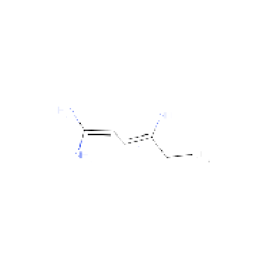 CC/C(N)=C/C=C(N)N